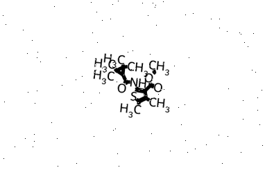 CCOC(=O)c1c(NC(=O)C2C(C)(C)C2(C)C)sc(C)c1C